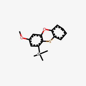 COc1cc2c(c([Si](C)(C)C)c1)Sc1ccccc1O2